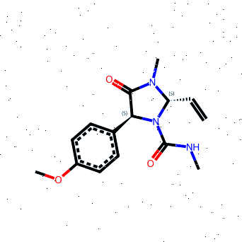 C=C[C@H]1N(C)C(=O)[C@H](c2ccc(OC)cc2)N1C(=O)NC